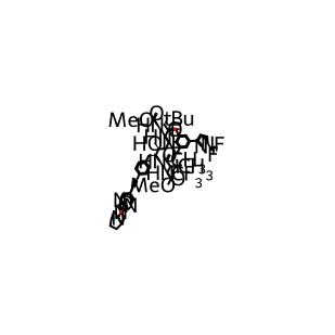 COC(=O)NC(C(=O)N[C@@H](Cc1ccc(C#Cc2cnc(N3CC4CCC(C3)N4C3COC3)nc2)cc1)[C@@H](O)CN(NC(=O)[C@@H](NC(=O)OC)C(C)(C)C)c1c(F)cc(-c2ccn(C(F)F)n2)cc1F)C(C)(C)C(F)(F)F